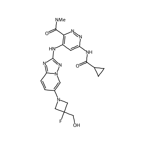 CNC(=O)c1nnc(NC(=O)C2CC2)cc1Nc1nc2ccc(N3CC(F)(CO)C3)cn2n1